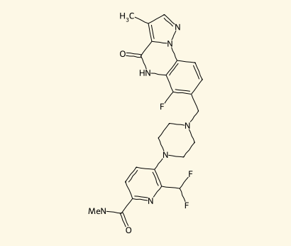 CNC(=O)c1ccc(N2CCN(Cc3ccc4c([nH]c(=O)c5c(C)cnn54)c3F)CC2)c(C(F)F)n1